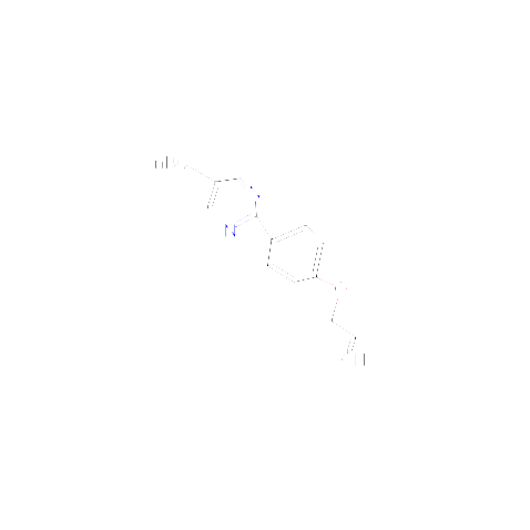 C=CCOc1ccc(-c2ncc(CCCC)cn2)cc1